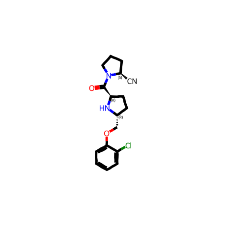 N#C[C@@H]1CCCN1C(=O)[C@H]1CC[C@H](COc2ccccc2Cl)N1